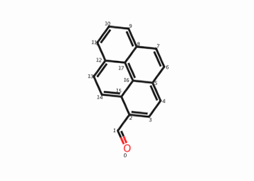 O=Cc1ccc2ccc3cc[c]c4ccc1c2c43